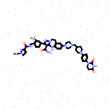 Cc1cc(-c2nn3c(c2C(N)=O)Nc2ccc(N4CCN(CC5CCN(c6ccc(N7CCC(=O)NC7=O)cc6)CC5)CC4)cc2CC3)ccc1CNC(=O)c1ccn(C(C)(C)C)n1